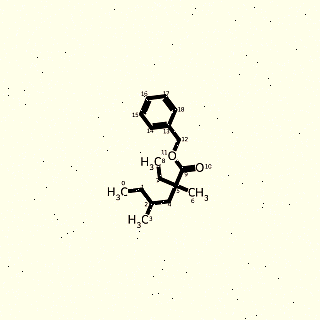 CCC(C)CC(C)(CC)C(=O)OCc1ccccc1